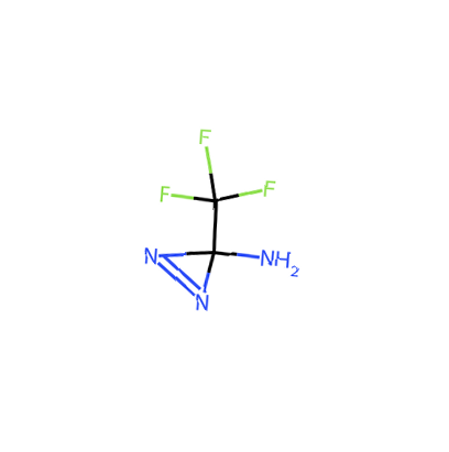 NC1(C(F)(F)F)N=N1